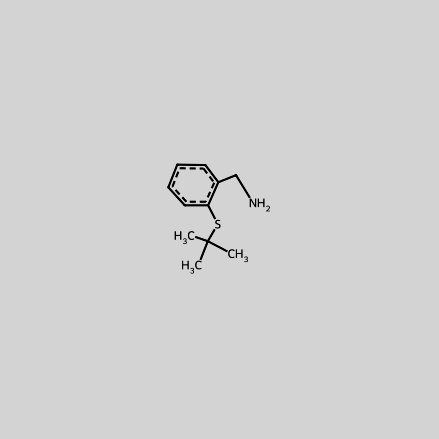 CC(C)(C)Sc1ccccc1CN